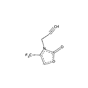 C#CCn1c(C(F)(F)F)[c]oc1=O